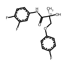 C[C@](O)(COc1ccc(F)cc1)C(=O)Nc1ccc(F)c(F)c1